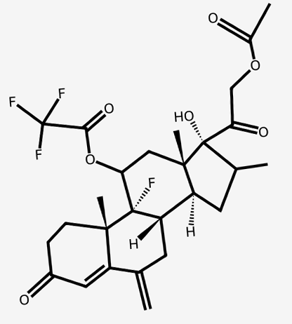 C=C1C[C@H]2[C@@H]3CC(C)[C@](O)(C(=O)COC(C)=O)[C@@]3(C)CC(OC(=O)C(F)(F)F)[C@]2(F)[C@@]2(C)CCC(=O)C=C12